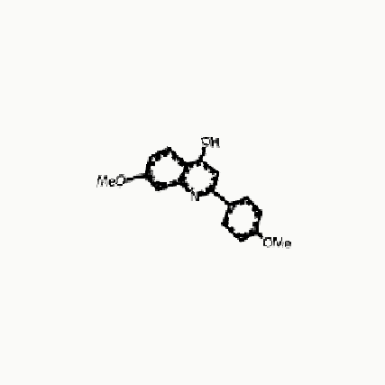 COc1ccc(-c2cc(O)c3ccc(OC)cc3n2)cc1